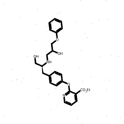 CCOC(=O)c1cccnc1Oc1ccc(C[C@@H](CO)NCC(O)COc2ccccc2)cc1